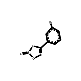 O=S1ON=C(c2cccc(Br)c2)O1